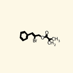 C=C(C)C(=O)OCC(Br)=Cc1ccccc1